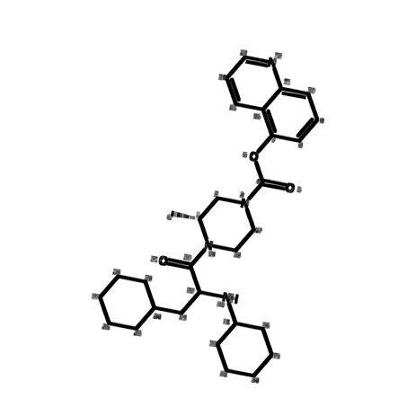 C[C@@H]1CN(C(=O)Oc2cccc3ncccc23)CCN1C(=O)C(CC1CCCCC1)NC1CCCCC1